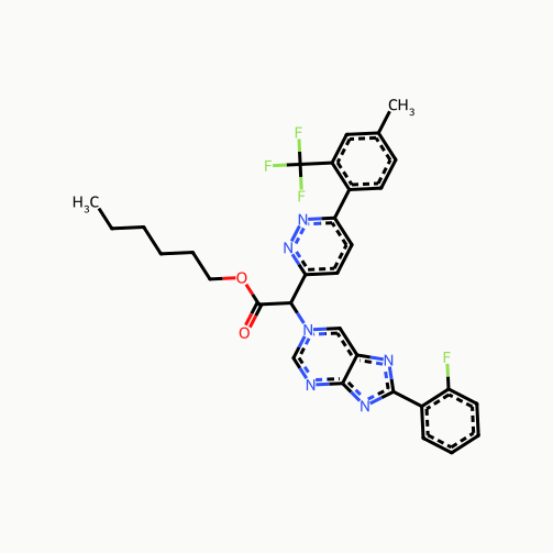 CCCCCCOC(=O)C(c1ccc(-c2ccc(C)cc2C(F)(F)F)nn1)n1cnc2nc(-c3ccccc3F)nc-2c1